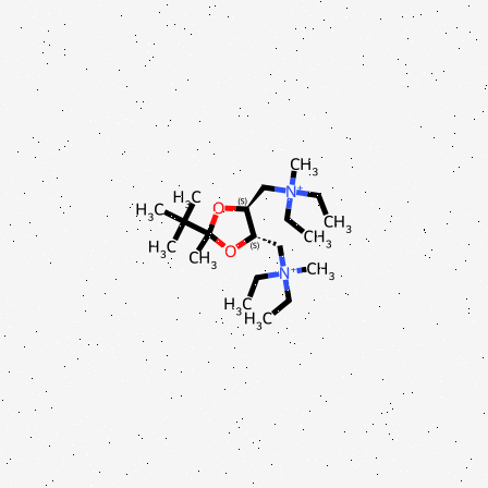 CC[N+](C)(CC)C[C@@H]1OC(C)(C(C)(C)C)O[C@H]1C[N+](C)(CC)CC